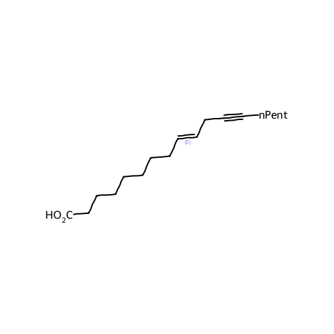 CCCCCC#CC/C=C/CCCCCCCC(=O)O